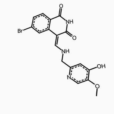 COc1cnc(CN/C=C2\C(=O)NC(=O)c3ccc(Br)cc32)cc1O